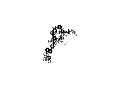 CC(C)(C)OC(=O)COc1c(C(=O)OC(C)(C)C)sc(-c2cccc(NC3CCN(S(=O)(=O)Cc4cccc(NC(=O)N5CCC(c6ccc7c8c(cccc68)C(=O)N7C6CCC(=O)NC6=O)CC5)c4)CC3)c2)c1Cl